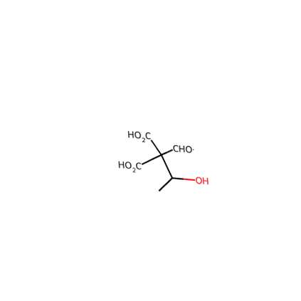 CC(O)C([C]=O)(C(=O)O)C(=O)O